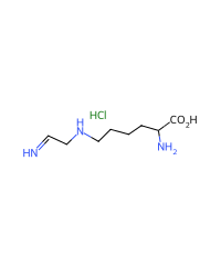 Cl.N=CCNCCCCC(N)C(=O)O